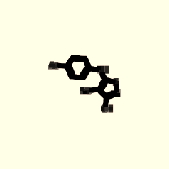 CC(=O)c1ccc(Nc2snc(O)c2C#N)cc1